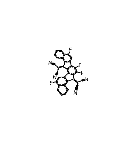 N#CC(C#N)=C1c2c(c(F)c(F)c3c2-c2cc(F)c4ccccc4c2C3=C(C#N)C#N)-c2cc(F)c3ccccc3c21